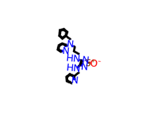 [O-][s+]1nc(NCCCN(Cc2ccccc2)c2ccccn2)c(NCc2ccccn2)n1